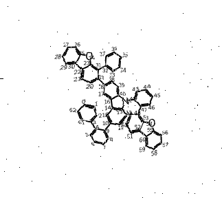 c1ccc(-c2ccccc2-c2ccc3c(c2)c2cc(-c4ccc5c(oc6ccccc65)c4-c4ccccc4)ccc2n3-c2ccccc2-c2cccc3c2oc2ccccc23)cc1